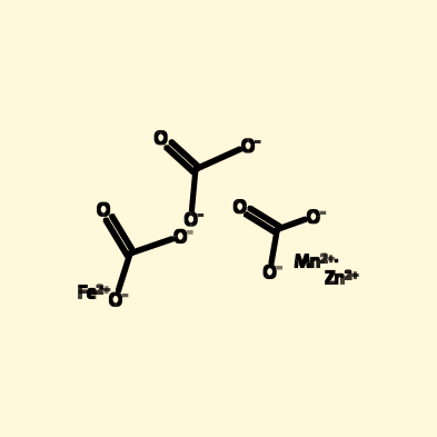 O=C([O-])[O-].O=C([O-])[O-].O=C([O-])[O-].[Fe+2].[Mn+2].[Zn+2]